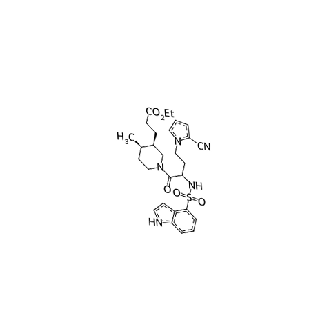 CCOC(=O)CC[C@H]1CN(C(=O)C(CCn2cccc2C#N)NS(=O)(=O)c2cccc3[nH]ccc23)CC[C@H]1C